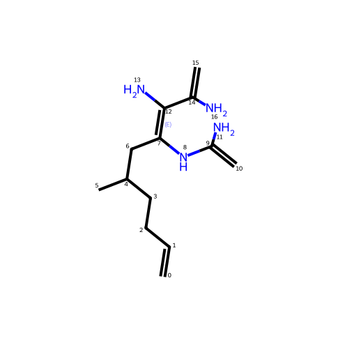 C=CCCC(C)C/C(NC(=C)N)=C(\N)C(=C)N